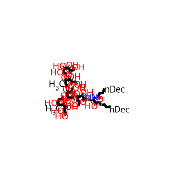 CCCCCCCCCCCCC/C=C/[C@@H](O)[C@H](CO[C@@H]1OC(CO)[C@@H](O[C@@H]2OC(CO)[C@H](O[C@@H]3OC(CO)[C@H](O)[C@H](O[C@@H]4OC(CO)[C@H](O)[C@H](O)C4O)C3C)[C@H](OC3C[C@@H](O)[C@@H](C)C([C@H](O)[C@H](O)CO)O3)C2O)[C@H](O)C1O)NC(=O)CCCCCCCCCCCCC